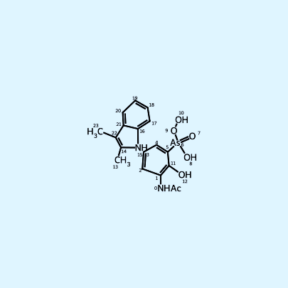 CC(=O)Nc1cccc([As](=O)(O)OO)c1O.Cc1[nH]c2ccccc2c1C